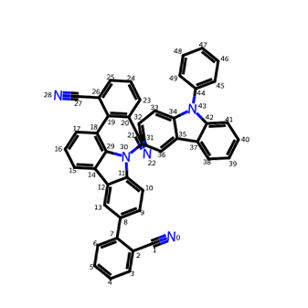 N#Cc1ccccc1-c1ccc2c(c1)c1cccc(-c3c(C#N)cccc3C#N)c1n2-c1ccc2c(c1)c1ccccc1n2-c1ccccc1